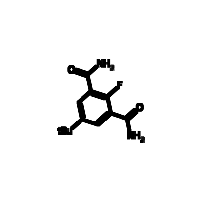 CC(C)(C)c1cc(C(N)=O)c(F)c(C(N)=O)c1